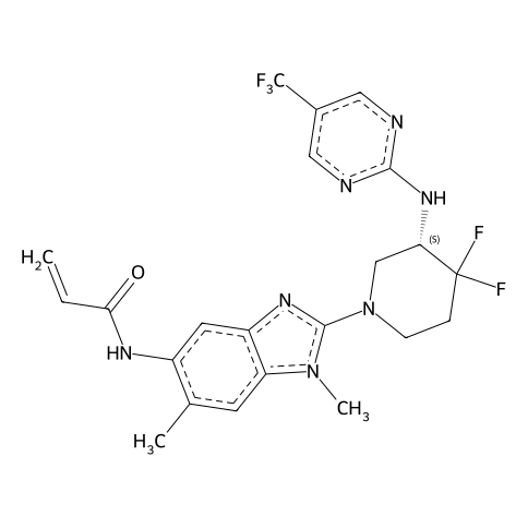 C=CC(=O)Nc1cc2nc(N3CCC(F)(F)[C@@H](Nc4ncc(C(F)(F)F)cn4)C3)n(C)c2cc1C